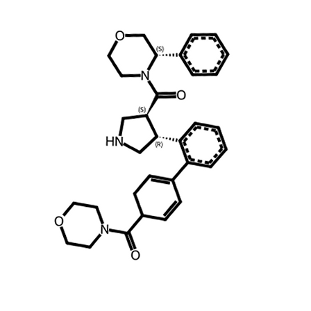 O=C(C1C=CC(c2ccccc2[C@@H]2CNC[C@H]2C(=O)N2CCOC[C@@H]2c2ccccc2)=CC1)N1CCOCC1